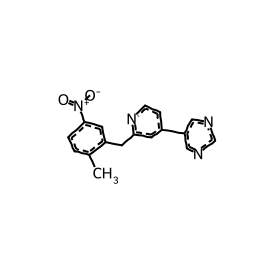 Cc1ccc([N+](=O)[O-])cc1Cc1cc(-c2cncnc2)ccn1